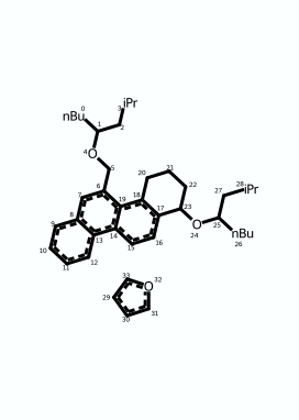 CCCCC(CC(C)C)OCc1cc2ccccc2c2ccc3c(c12)CCCC3OC(CCCC)CC(C)C.c1ccoc1